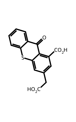 O=C(O)Cc1cc(C(=O)O)c2c(=O)c3ccccc3sc2c1